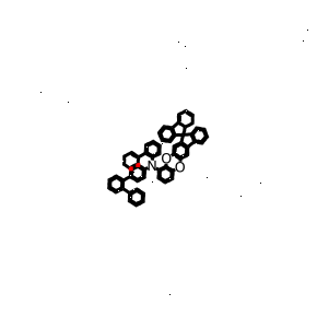 C1=CCC2C(=C1)c1ccccc1C21c2ccccc2-c2cc3c(cc21)Oc1c(cccc1N(c1ccc(-c2ccccc2-c2ccccc2)cc1)c1ccccc1C1=CCCC=C1)O3